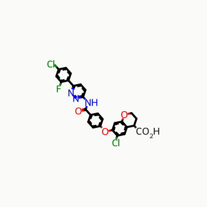 O=C(Nc1ccc(-c2ccc(Cl)cc2F)nn1)c1ccc(Oc2cc3c(cc2Cl)C(C(=O)O)CCO3)cc1